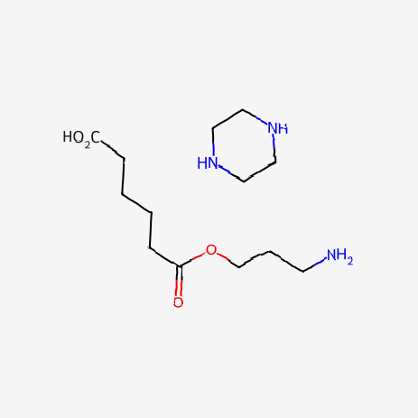 C1CNCCN1.NCCCOC(=O)CCCCC(=O)O